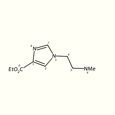 CCOC(=O)c1cn(CCNC)cn1